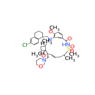 COc1ccc2cc1N(C[C@]1(C)CCCc3cc(Cl)ccc31)C[C@@H]1CC[C@H]1[C@@](CN1CCCOC1)(OC)/C=C/C[C@H](C)[C@@H](C)S(=O)(=O)NC2=O